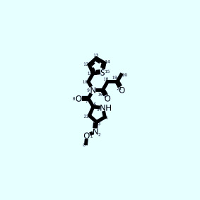 CON=C1CNC(C(=O)N(Cc2cccs2)C(=O)CC(C)=O)C1